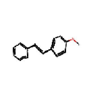 CCOc1ccc(C=Cc2cc[c]cc2)cc1